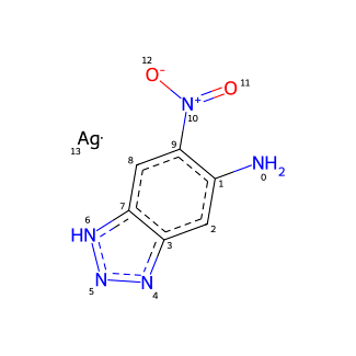 Nc1cc2nn[nH]c2cc1[N+](=O)[O-].[Ag]